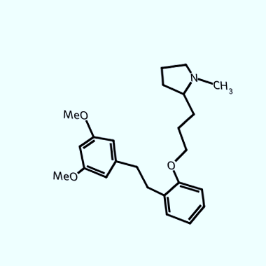 COc1cc(CCc2ccccc2OCCCC2CCCN2C)cc(OC)c1